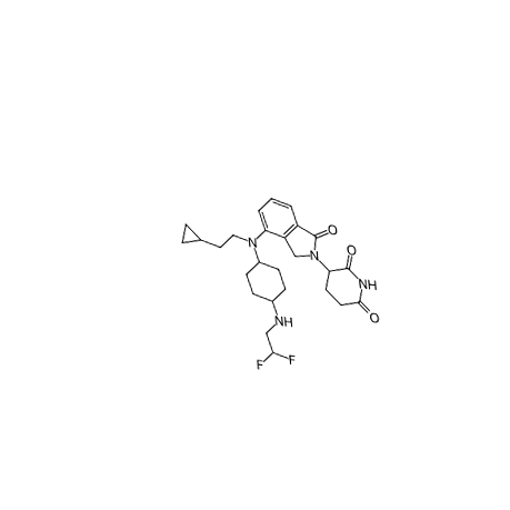 O=C1CCC(N2Cc3c(cccc3N(CCC3CC3)C3CCC(NCC(F)F)CC3)C2=O)C(=O)N1